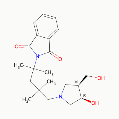 CC(C)(CN1C[C@@H](CO)[C@@H](O)C1)CC(C)(C)N1C(=O)c2ccccc2C1=O